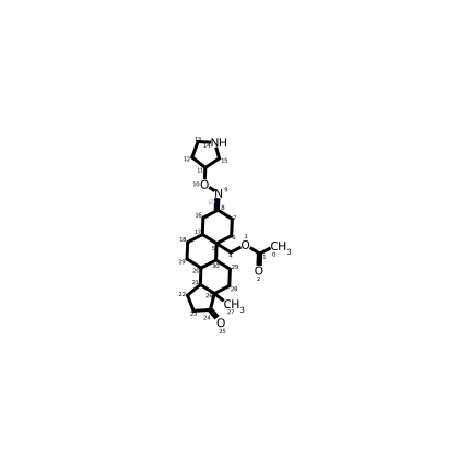 CC(=O)OCC12CC/C(=N/OC3CCNC3)CC1CCC1C3CCC(=O)C3(C)CCC12